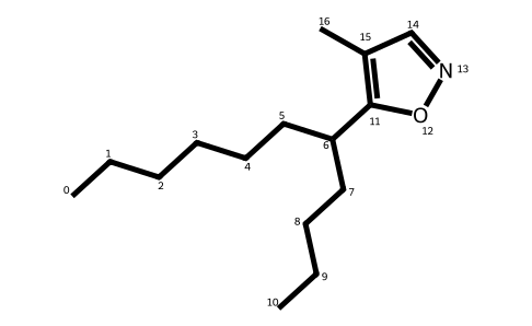 CCCCCCC(CCCC)c1oncc1C